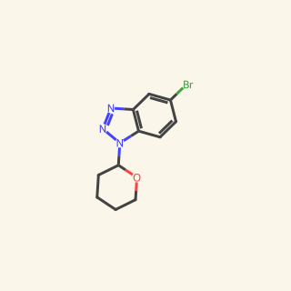 Brc1ccc2c(c1)nnn2C1CCCCO1